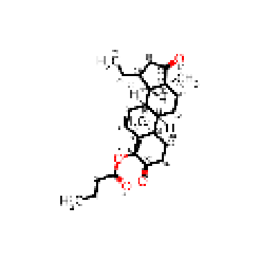 CCCC(=O)OC1=C2CC[C@@H]3[C@@H](CC[C@]4(C)C(=O)CC(CC)[C@@H]34)[C@@]2(C)CCC1=O